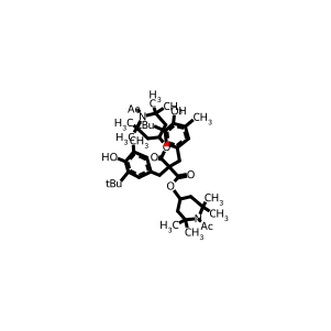 CC(=O)N1C(C)(C)CC(OC(=O)C(Cc2cc(C)c(O)c(C(C)(C)C)c2)(Cc2cc(C)c(O)c(C(C)(C)C)c2)C(=O)OC2CC(C)(C)N(C(C)=O)C(C)(C)C2)CC1(C)C